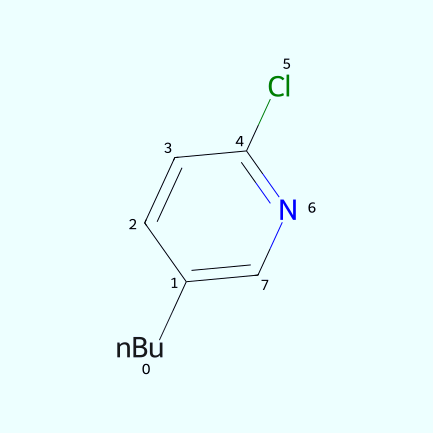 CC[CH]Cc1ccc(Cl)nc1